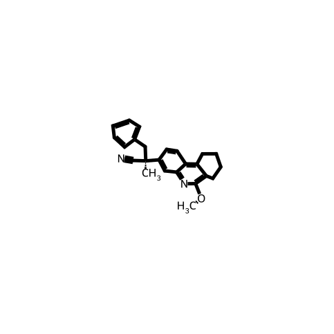 COc1nc2cc([C@@](C)(C#N)Cc3ccccc3)ccc2c2c1CCCC2